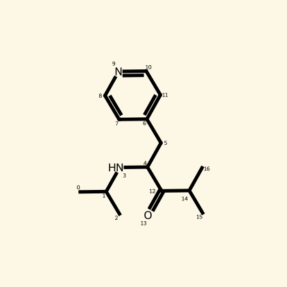 CC(C)NC(Cc1ccncc1)C(=O)C(C)C